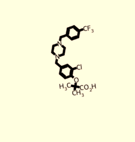 CC(C)(Oc1ccc(CN2CCN(Cc3ccc(C(F)(F)F)cc3)CC2)cc1Cl)C(=O)O